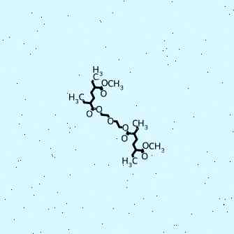 CCC(CCC(CC)C(=O)OCCOCCOC(=O)C(CC)CCC(CC)C(=O)OC)C(=O)OC